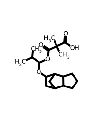 CC(C)C(OC(=O)C(C)(C)C(=O)O)OC1CC2CC1C1CCCC21